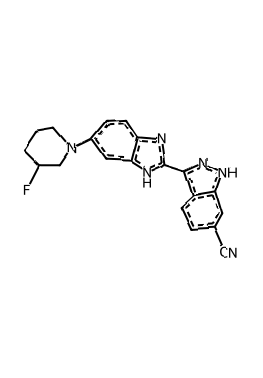 N#Cc1ccc2c(-c3nc4ccc(N5CCCC(F)C5)cc4[nH]3)n[nH]c2c1